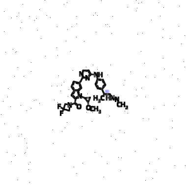 C=NN/C=C(\C)c1ccc(Nc2ccnc(-c3ccc4cc(C(=O)N5CC(F)(F)C5)n(C5CC5OC)c4c3)n2)cc1